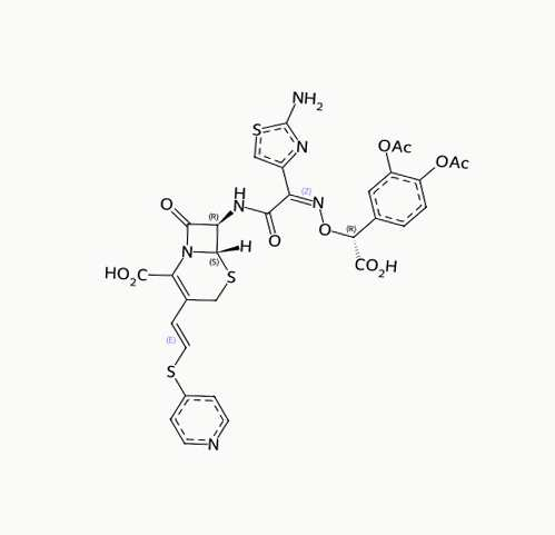 CC(=O)Oc1ccc([C@@H](O/N=C(\C(=O)N[C@@H]2C(=O)N3C(C(=O)O)=C(/C=C/Sc4ccncc4)CS[C@@H]23)c2csc(N)n2)C(=O)O)cc1OC(C)=O